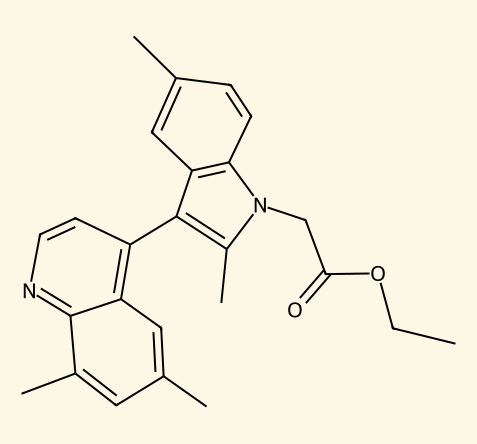 CCOC(=O)Cn1c(C)c(-c2ccnc3c(C)cc(C)cc23)c2cc(C)ccc21